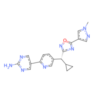 Cn1cc(-c2nc([C@@H](c3ccc(-c4cnc(N)nc4)nc3)C3CC3)no2)cn1